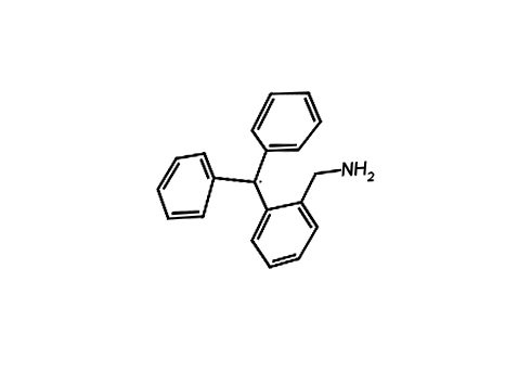 NCc1ccccc1[C](c1ccccc1)c1ccccc1